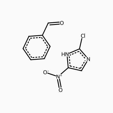 O=Cc1ccccc1.O=[N+]([O-])c1cnc(Cl)[nH]1